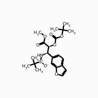 COC(=O)[C@@H](OC(=O)OC(C)(C)C)[C@H](N[S@@+]([O-])C(C)(C)C)c1ccc2ccoc2c1